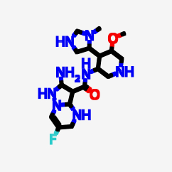 COC1CNCC(NC(=O)C2C(N)NN3C=C(F)CNC23)C1C1CNCN1C